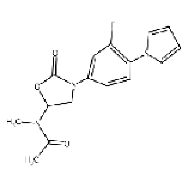 CC(=O)N(C)C1CN(c2ccc(-n3cccc3)c(F)c2)C(=O)O1